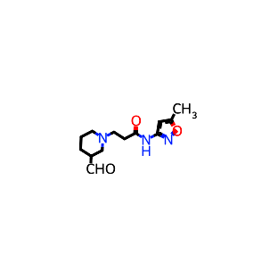 Cc1cc(NC(=O)CCN2CCCC(C=O)C2)no1